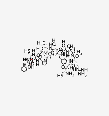 CC[C@H](C)[C@H](NC(=O)[C@@H]1CCCN1C(=O)[C@@H]1CCCN1C(=O)[C@@H](NC(=O)[C@H](CO)NC(=O)[C@H](Cc1ccccc1)NC(=O)[C@@H](NC(=O)[C@H](C)NC(=O)[C@H](CCCNC(=N)N)NC(=O)CNC(=O)[C@@H](N)CS)[C@@H](C)O)[C@@H](C)CC)C(=O)N[C@@H](CS)C(=O)N[C@@H](Cc1ccccc1)C(=O)O